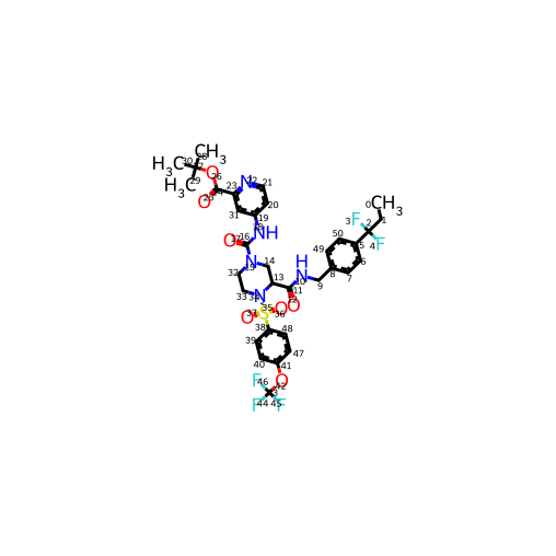 CCC(F)(F)c1ccc(CNC(=O)C2CN(C(=O)Nc3ccnc(C(=O)OC(C)(C)C)c3)CCN2S(=O)(=O)c2ccc(OC(F)(F)F)cc2)cc1